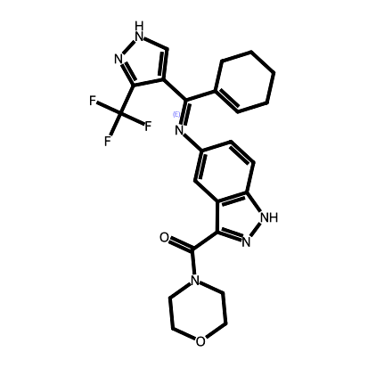 O=C(c1n[nH]c2ccc(/N=C(\C3=CCCCC3)c3c[nH]nc3C(F)(F)F)cc12)N1CCOCC1